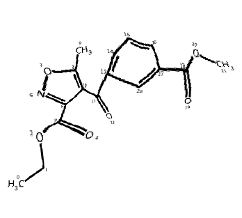 CCOC(=O)c1noc(C)c1C(=O)c1cccc(C(=O)OC)c1